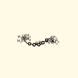 C[Si](C)(C)O[Si](C)(C)CCCc1ccc(-c2ccc3c(c2)oc2c3ccc3c4ccc(-c5ccc(C[Si](C)(C)O[Si](C)(C)C)cc5)cc4oc32)cc1